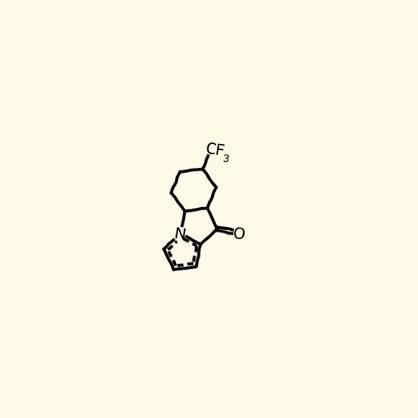 O=C1c2cccn2C2CCC(C(F)(F)F)CC12